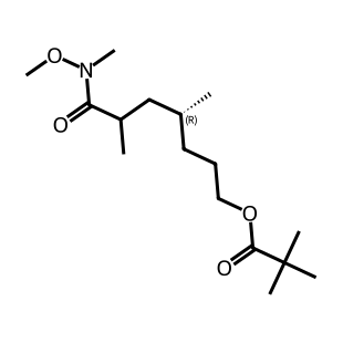 CON(C)C(=O)C(C)C[C@H](C)CCCOC(=O)C(C)(C)C